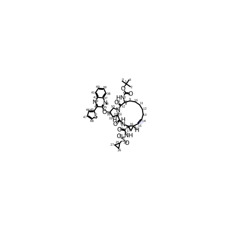 CC(C)(C)OC(=O)N[C@H]1CCCCC/C=C\[C@@H]2C[C@@]2(C(=O)NS(=O)(=O)C2CC2)NC(=O)[C@@H]2C[C@@H](Oc3nc4ccccc4nc3-c3cccs3)CN2C1=O